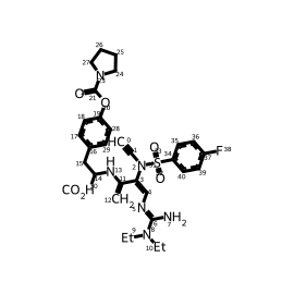 C#CN(/C(=C/N=C(\N)N(CC)CC)C(=C)NC(Cc1ccc(OC(=O)N2CCCC2)cc1)C(=O)O)S(=O)(=O)c1ccc(F)cc1